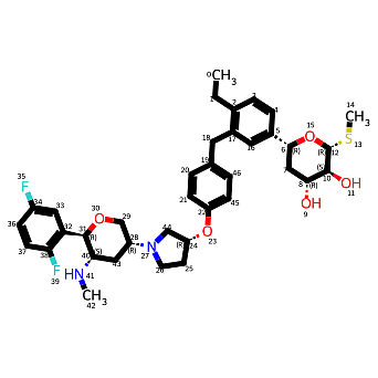 CCc1ccc([C@H]2C[C@@H](O)[C@H](O)[C@@H](SC)O2)cc1Cc1ccc(O[C@@H]2CCN([C@H]3CO[C@H](c4cc(F)ccc4F)[C@@H](NC)C3)C2)cc1